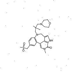 Cn1cc2c3c(c[nH]c3c1=O)CN(CC(C)(C)CN1CCOCC1)c1ccc(CS(C)(=O)=O)cc1-2